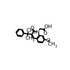 COc1ccc2cc(C(C)(C)c3ccccc3)c(=O)n(CC(=O)O)c2c1